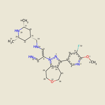 COc1ncc(-c2nn(/C(C=N)=C/NC[C@H]3C[C@@H](C)N[C@@H](C)C3)c3c2CCOCC3)cc1F